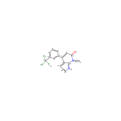 Cn1c(=O)cc(-c2cccc(C(F)(F)F)c2)c2cccnc21